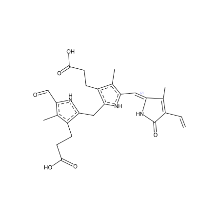 C=CC1=C(C)/C(=C/c2[nH]c(Cc3[nH]c(C=O)c(C)c3CCC(=O)O)c(CCC(=O)O)c2C)NC1=O